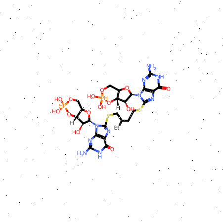 CCC(CCSc1nc2c(=O)[nH]c(N)nc2n1[C@@H]1OC2CO[PH](O)(O)O[C@H]2[C@@H]1O)CSc1nc2c(=O)[nH]c(N)nc2n1[C@@H]1OC2CO[PH](O)(O)O[C@H]2[C@@H]1O